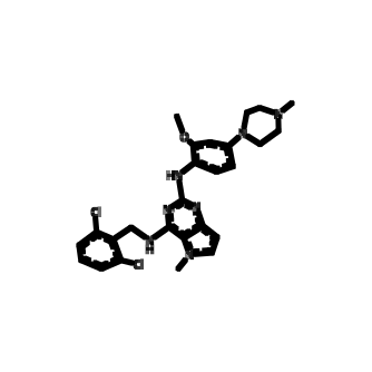 COc1cc(N2CCN(C)CC2)ccc1Nc1nc(NCc2c(Cl)cccc2Cl)c2c(ccn2C)n1